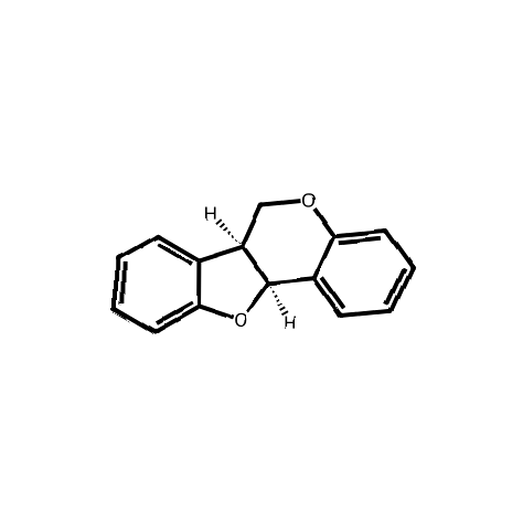 c1ccc2c(c1)O[C@@H]1c3ccccc3OC[C@H]21